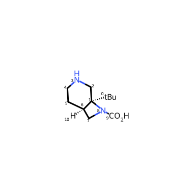 CC(C)(C)[C@@]12CNCC[C@@H]1CN2C(=O)O